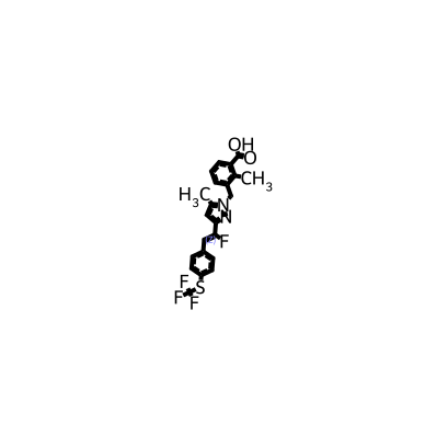 Cc1c(Cn2nc(/C(F)=C/c3ccc(SC(F)(F)F)cc3)cc2C)cccc1C(=O)O